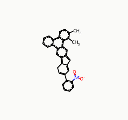 Cc1ccc2c3ccccc3c3cc4c(cc3c2c1C)=CC1=CC(c2ccccc2[N+](=O)[O-])=CCC=41